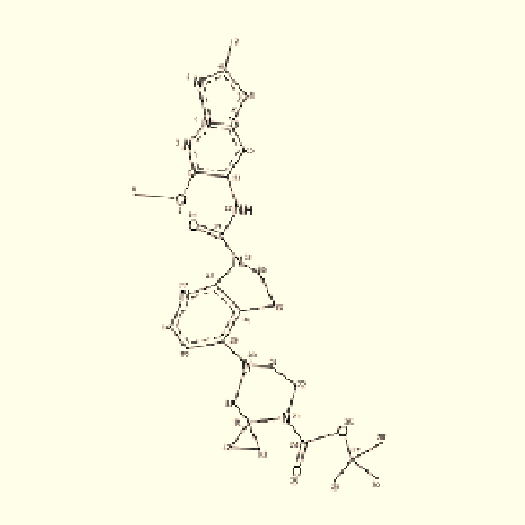 COc1nn2nc(C)cc2cc1NC(=O)N1CCc2c(N3CCN(C(=O)OC(C)(C)C)C4(CC4)C3)ccnc21